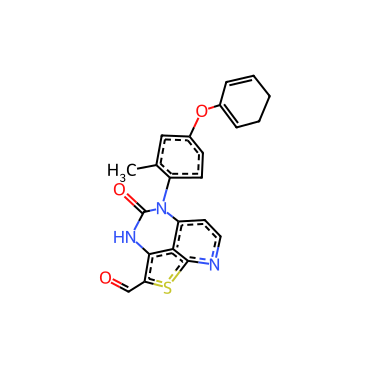 Cc1cc(OC2=CCCC=C2)ccc1N1C(=O)Nc2c(C=O)sc3nccc1c23